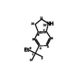 CCC(C)(C)c1ccc2c(c1)CCN2